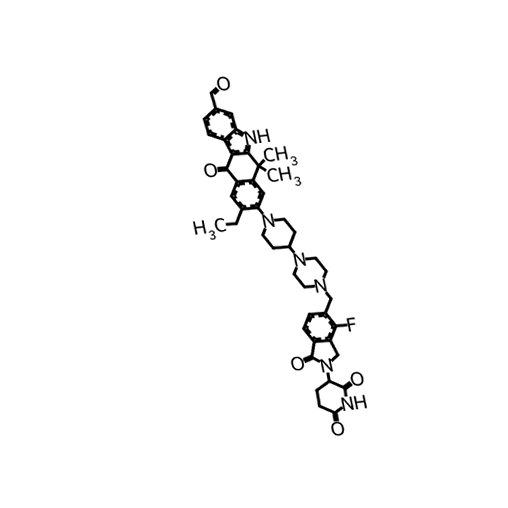 CCc1cc2c(cc1N1CCC(N3CCN(Cc4ccc5c(c4F)CN(C4CCC(=O)NC4=O)C5=O)CC3)CC1)C(C)(C)c1[nH]c3cc(C=O)ccc3c1C2=O